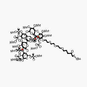 COC(=O)[C@H]1O[C@@H](O[C@H]2[C@H](OS(=O)(=O)OC)[C@@H](OS(=O)(=O)OC)[C@@H](O[C@H]3[C@H](OC)[C@@H](OC)[C@H](O[C@H]4[C@H](OS(=O)(=O)OC)[C@@H](OS(=O)(=O)OC)[C@@H](OC)O[C@@H]4COS(=O)(=O)OC)O[C@H]3C(=O)OC)O[C@@H]2COS(=O)(=O)OC)[C@H](OC)[C@@H](OC)[C@@H]1O[C@H]1O[C@H](COS(=O)(=O)OC)[C@@H](OCCOCCOCCOCCCC(=O)CSC(C)(C)C)[C@H](OC)[C@H]1OC